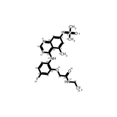 Cc1cc(N=S(C)(C)=O)cc2ncnc(Nc3ccc(F)cc3OCC(=O)NCC(F)(F)F)c12